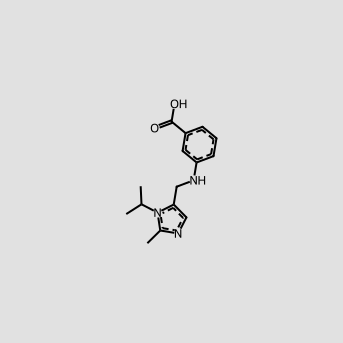 Cc1ncc(CNc2cccc(C(=O)O)c2)n1C(C)C